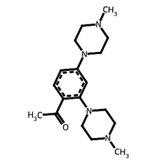 CC(=O)c1ccc(N2CCN(C)CC2)cc1N1CCN(C)CC1